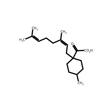 CC(C)=CCCC(C)=CCC1(C(=O)C(=O)O)CCC(C)CC1